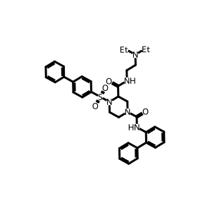 CCN(CC)CCNC(=O)C1CN(C(=O)Nc2ccccc2-c2ccccc2)CCN1S(=O)(=O)c1ccc(-c2ccccc2)cc1